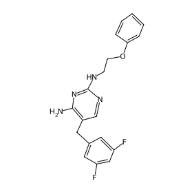 Nc1nc(NCCOc2ccccc2)ncc1Cc1cc(F)cc(F)c1